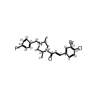 CC1CN(C(=O)C=Cc2ccc(Cl)c(Br)c2)C(C)CN1Cc1ccc(F)cc1